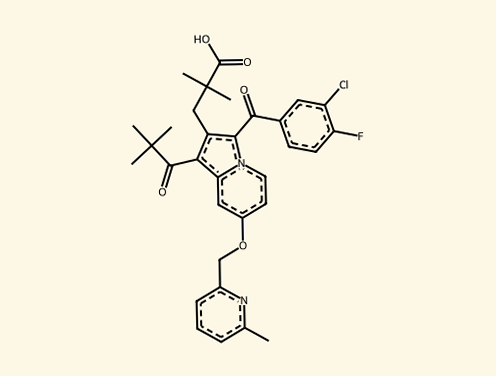 Cc1cccc(COc2ccn3c(C(=O)c4ccc(F)c(Cl)c4)c(CC(C)(C)C(=O)O)c(C(=O)C(C)(C)C)c3c2)n1